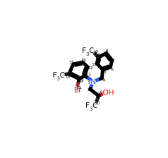 OC(CN(Cc1cccc(C(F)(F)F)c1)c1cccc(C(F)(F)F)c1Br)C(F)(F)F